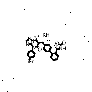 CCCc1c(Cc2ccc(-c3ccccc3-c3noc(=O)[nH]3)cc2)c(=O)n(-c2ccc(C(C)C)cc2)c2ncnn12.[KH]